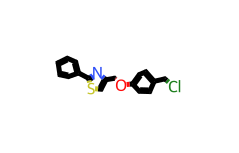 ClCc1ccc(OCc2csc(-c3ccccc3)n2)cc1